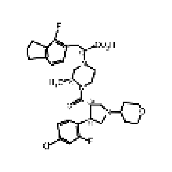 C[C@H]1CN([C@@H](Cc2ccc3c(c2F)CCC3)C(=O)O)CCN1C(=O)[C@@H]1CN(C2CCOCC2)C[C@H]1c1ccc(Cl)cc1F